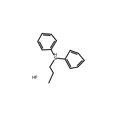 CCC[SiH](c1ccccc1)c1ccccc1.F